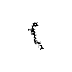 O=C(NCC1CC1)c1nnc(CCCCc2cc3cc(Cc4ccccc4)[nH]c3nn2)s1